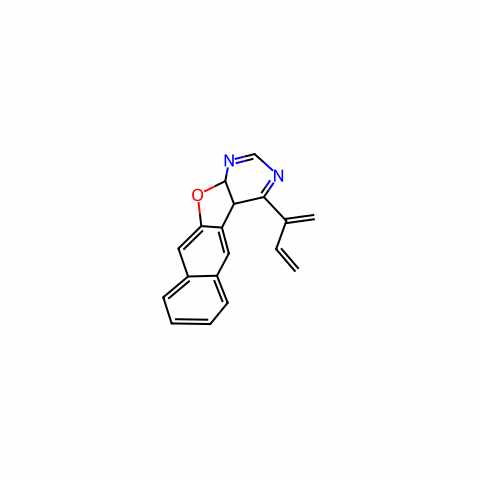 C=CC(=C)C1=NC=NC2Oc3cc4ccccc4cc3C12